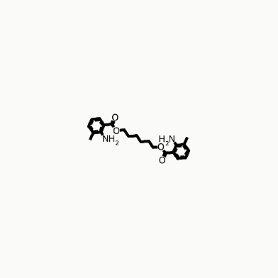 Cc1cccc(C(=O)OCCCCCCOC(=O)c2cccc(C)c2N)c1N